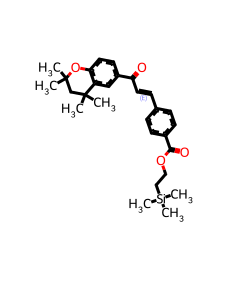 CC1(C)CC(C)(C)c2cc(C(=O)/C=C/c3ccc(C(=O)OCC[Si](C)(C)C)cc3)ccc2O1